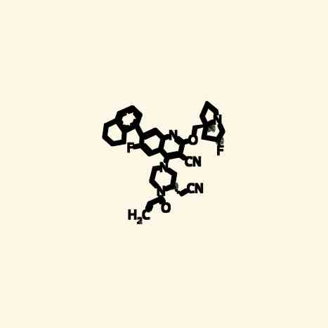 C=CC(=O)N1CCN(C2=C(C#N)C(OC[C@@]34CCCN3C[C@H](F)C4)=NC3C=C(c4cccc5c4CCCC5)C(F)=CC23)C[C@@H]1CC#N